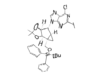 CC1(C)O[C@H]2[C@H](n3cnc4c(Cl)nc(I)nc43)[C@H]3C[C@@]3(CO[Si](c3ccccc3)(c3ccccc3)C(C)(C)C)[C@H]2O1